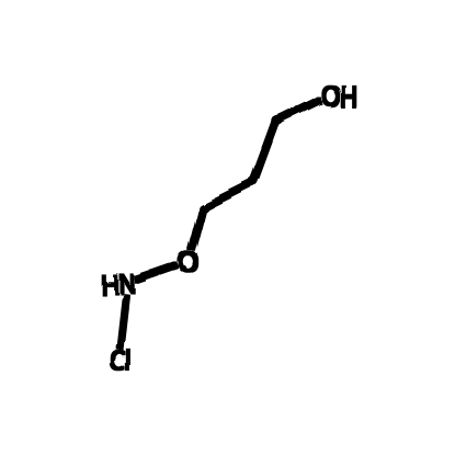 OCCCONCl